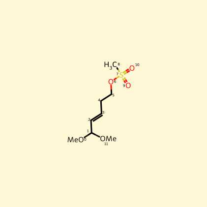 COC(C=CCCOS(C)(=O)=O)OC